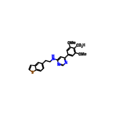 COc1cc(-c2cc(NCCc3ccc4sccc4c3)ncn2)cc(OC)c1C(=O)O